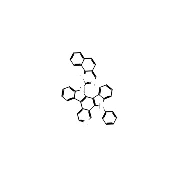 c1ccc(-n2c3ccccc3c3c2c2cnccc2c2c4ccccc4n(-c4ncc5ccc6ccccc6c5n4)c23)cc1